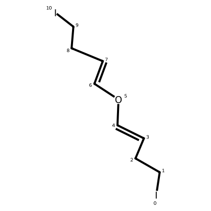 ICCC=COC=CCCI